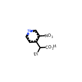 CCC(C(=O)O)c1ccncc1[N+](=O)[O-]